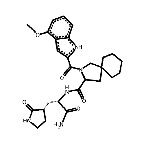 COc1cccc2[nH]c(C(=O)N3CC4(CCCCC4)CC3C(=O)N[C@@H](C[C@@H]3CCNC3=O)C(N)=O)cc12